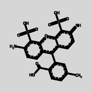 Cc1ccc(C(=O)O)c(-c2c3ccc(=N)c(S(=O)(=O)O)c-3oc3c(S(=O)(=O)O)c(N)ccc23)c1